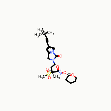 C[C@@](CCN1Cc2cc(C#C[Si](C)(C)C)cn2C1=O)(C(=O)NO[C@H]1CCCCO1)S(C)(=O)=O